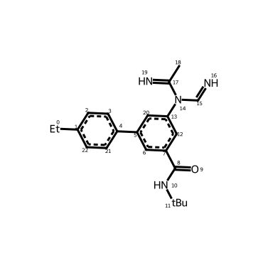 CCc1ccc(-c2cc(C(=O)NC(C)(C)C)cc(N(C=N)C(C)=N)c2)cc1